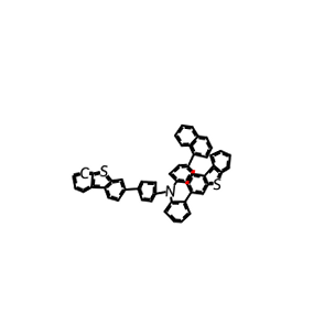 c1ccc(N(c2ccc(-c3ccc4c(c3)sc3ccccc34)cc2)c2ccc(-c3cccc4ccccc34)cc2)c(-c2ccc3c(c2)sc2ccccc23)c1